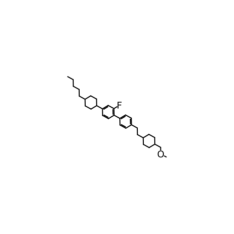 CCCCCC1CCC(c2ccc(-c3ccc(CCC4CCC(COC)CC4)cc3)c(F)c2)CC1